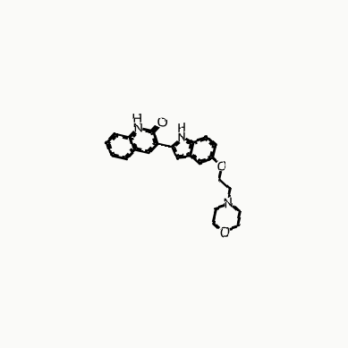 O=c1[nH]c2ccccc2cc1-c1cc2cc(OCCN3CCOCC3)ccc2[nH]1